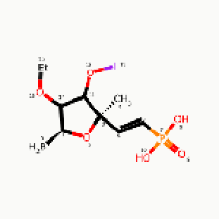 B[C@@H]1O[C@](C)(/C=C/P(=O)(O)O)C(OI)C1OCC